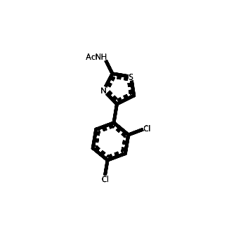 CC(=O)Nc1nc(-c2ccc(Cl)cc2Cl)cs1